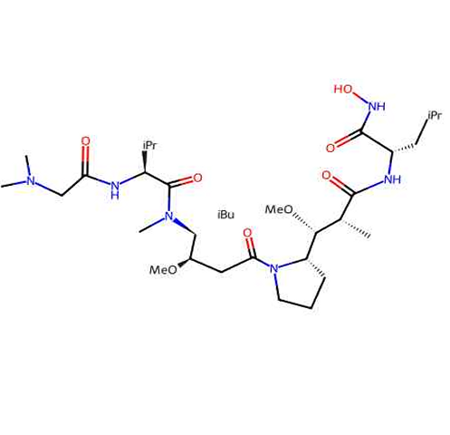 CC[C@H](C)[C@@H]([C@@H](CC(=O)N1CCC[C@H]1[C@H](OC)[C@@H](C)C(=O)N[C@@H](CC(C)C)C(=O)NO)OC)N(C)C(=O)[C@@H](NC(=O)CN(C)C)C(C)C